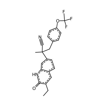 CCc1cc2ccc(C(C)(C#N)Cc3ccc(OC(F)(F)F)cc3)cc2[nH]c1=O